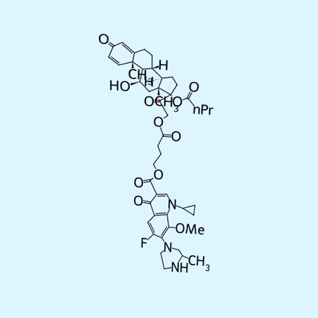 CCCC(=O)O[C@@]1(C(=O)COC(=O)CCCOC(=O)c2cn(C3CC3)c3c(OC)c(N4CCNC(C)C4)c(F)cc3c2=O)CC[C@@H]2[C@H]3CCC4=CC(=O)C=C[C@@]4(C)C3[C@H](O)C[C@]21C